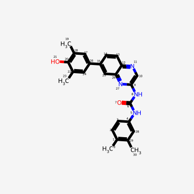 Cc1ccc(NC(=O)Nc2cnc3ccc(-c4cc(C)c(O)c(C)c4)cc3n2)cc1C